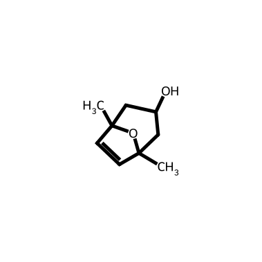 CC12C=CC(C)(CC(O)C1)O2